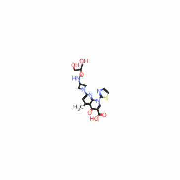 Cc1cc(N2CC(NOC(CO)CO)C2)nc2c1c(=O)c(C(=O)O)cn2-c1nccs1